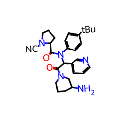 CC(C)(C)c1ccc(N(C(=O)C2CCCN2C#N)C(C(=O)N2CCCC(N)C2)c2cccnc2)cc1